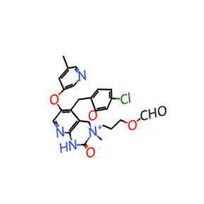 Cc1cncc(Oc2cnc3c(c2Cc2ccc(Cl)cc2)C(=O)[N+](C)(CCCOC=O)C(=O)N3)c1